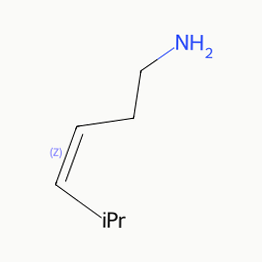 CC(C)/C=C\CCN